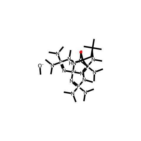 CN(C)P(=N[P+](N=P(N(C)C)(N(C)C)N(C)C)(N=P(N(C)C)(N(C)C)N(C)C)NC(C)(C)CC(C)(C)C)(N(C)C)N(C)C.C[O-]